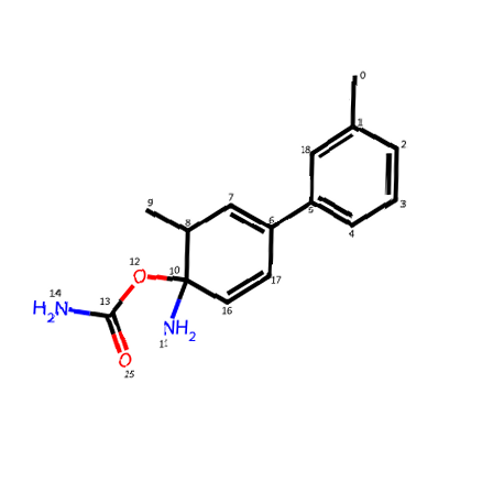 Cc1cccc(C2=CC(C)C(N)(OC(N)=O)C=C2)c1